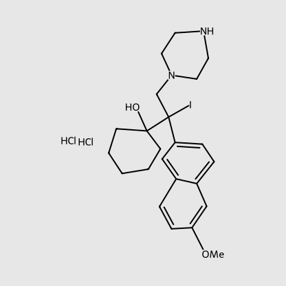 COc1ccc2cc(C(I)(CN3CCNCC3)C3(O)CCCCC3)ccc2c1.Cl.Cl